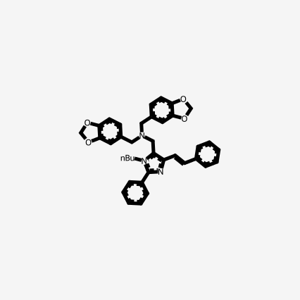 CCCCn1c(-c2ccccc2)nc(/C=C/c2ccccc2)c1CN(Cc1ccc2c(c1)OCO2)Cc1ccc2c(c1)OCO2